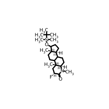 CN1C(=O)[C@H](F)C[C@]2(C)C3CC[C@]4(C)C(O[Si](C)(C)C(C)(C)C)CC[C@H]4C3CC[C@@H]12